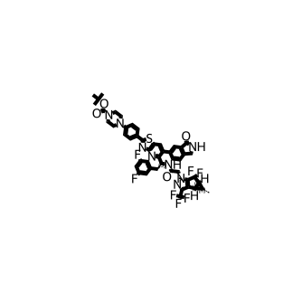 C[C@@H]1[C@@H]2c3c(C(F)(F)F)nn(CC(=O)N[C@@H](Cc4cc(F)cc(F)c4)c4nc5nc(-c6ccc(N7CCN(C(=O)OC(C)(C)C)CC7)cc6)sc5cc4-c4ccc5c(c4)C(=O)NC5)c3C(F)(F)[C@H]12